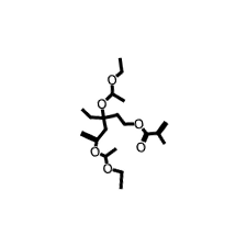 C=C(CC(CC)(CCOC(=O)C(=C)C)OC(C)OCC)OC(C)OCC